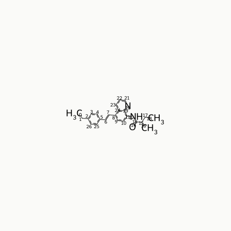 CCc1ccc(C=Cc2ccc(NC(=O)C(C)CC)c3ncccc23)cc1